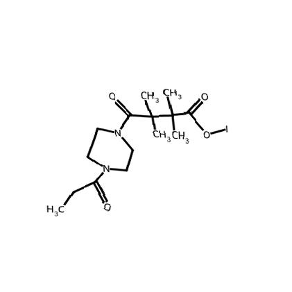 CCC(=O)N1CCN(C(=O)C(C)(C)C(C)(C)C(=O)OI)CC1